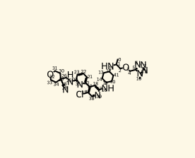 CC(COCc1nnnn1C)N[C@H]1CC[C@H](Nc2cc(-c3cccc(NCC4(C#N)CCOCC4)n3)c(Cl)cn2)CC1